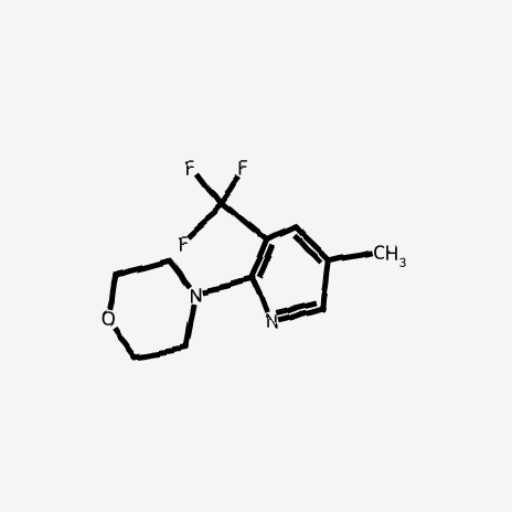 Cc1cnc(N2CCOCC2)c(C(F)(F)F)c1